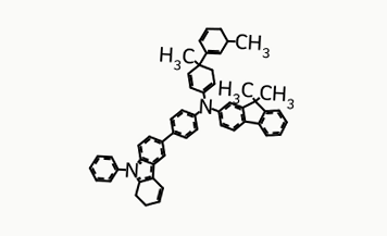 CC1C=C(C2(C)C=CC(N(c3ccc(-c4ccc5c(c4)c4c(n5-c5ccccc5)CCC=C4)cc3)c3ccc4c(c3)C(C)(C)c3ccccc3-4)=CC2)C=CC1